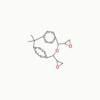 CC1(C)c2ccc(cc2)C(C2CO2)OC(C2CO2)c2ccc1cc2